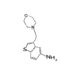 Nc1ccc2scc(CN3CCOCC3)c2c1